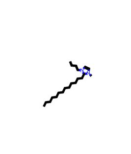 CCCCCCCCCCCCCC1N(C)C=CN1CCCC